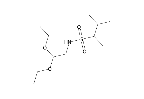 CCOC(CNS(=O)(=O)C(C)C(C)C)OCC